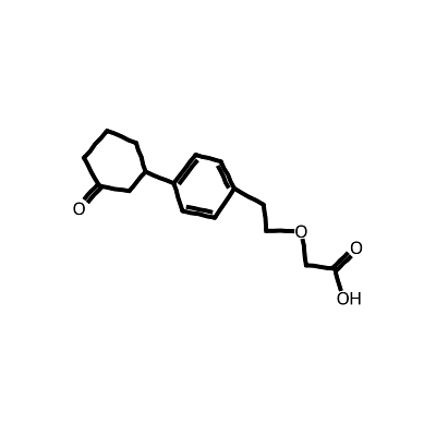 O=C(O)COCCc1ccc(C2CCCC(=O)C2)cc1